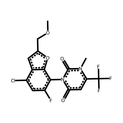 COCc1cc2c(Cl)cc(F)c(-n3c(=O)cc(C(F)(F)F)n(C)c3=O)c2o1